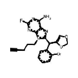 C#CCCCn1c(C(C2=COCO2)c2ccccc2Br)nc2c(N)nc(F)nc21